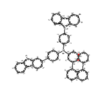 c1ccc(-c2cccc3cccc(-c4cccc(N(c5ccc(-c6ccc7c(c6)sc6ccccc67)cc5)c5ccc(-n6c7ccccc7c7ccccc76)cc5)c4)c23)cc1